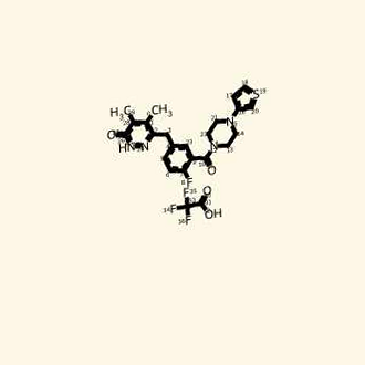 Cc1c(Cc2ccc(F)c(C(=O)N3CCN(c4ccsc4)CC3)c2)n[nH]c(=O)c1C.O=C(O)C(F)(F)F